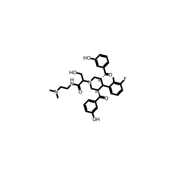 Cc1c(F)cccc1C1[C@@H](C(=O)c2cccc(O)c2)CN(C(CO)C(=O)NCCN(C)C)C[C@@H]1C(=O)c1cccc(O)c1